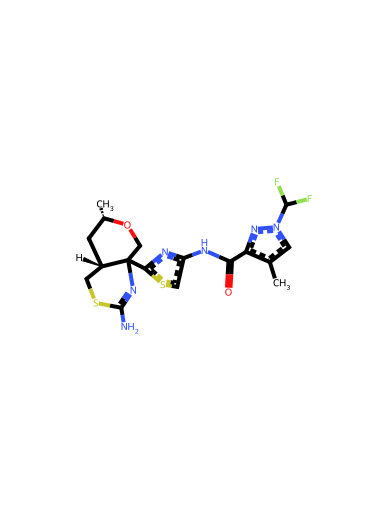 Cc1cn(C(F)F)nc1C(=O)Nc1csc(C23CO[C@@H](C)C[C@H]2CSC(N)=N3)n1